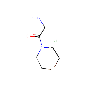 Cl.NCC(=O)N1CCSCC1